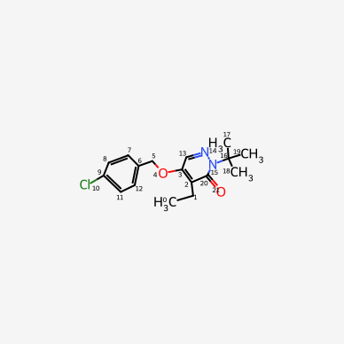 CCc1c(OCc2ccc(Cl)cc2)cnn(C(C)(C)C)c1=O